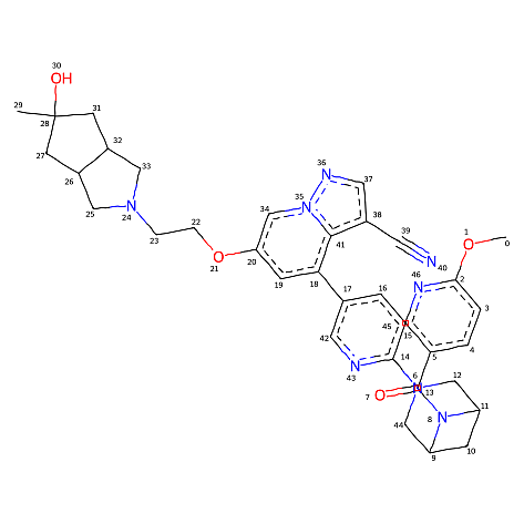 COc1ccc(C(=O)N2C3CC2CN(c2ccc(-c4cc(OCCN5CC6CC(C)(O)CC6C5)cn5ncc(C#N)c45)cn2)C3)cn1